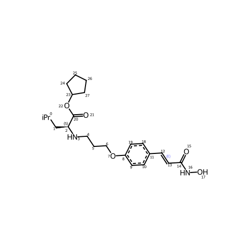 CC(C)C[C@H](NCCCOc1ccc(/C=C/C(=O)NO)cc1)C(=O)OC1CCCC1